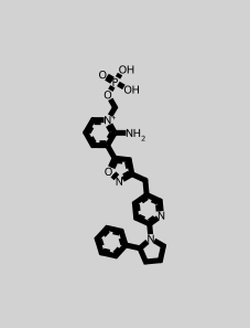 Nc1c(-c2cc(Cc3ccc(N4CCCC4c4ccccc4)nc3)no2)ccc[n+]1COP(=O)(O)O